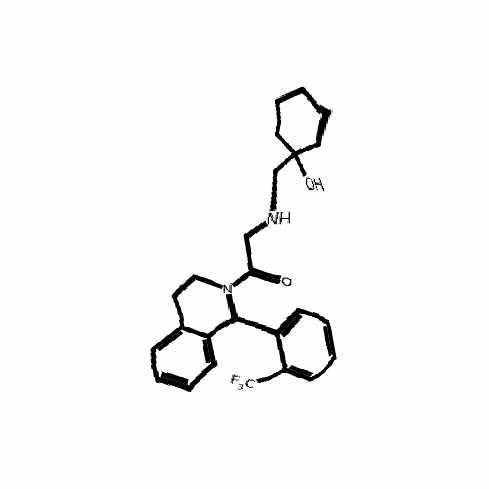 O=C(CNCC1(O)CCCCC1)N1CCc2ccccc2C1c1ccccc1C(F)(F)F